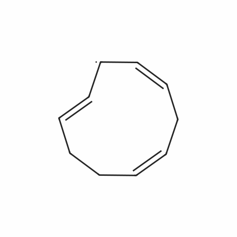 [CH]1/C=C\C/C=C\CC/C=C/1